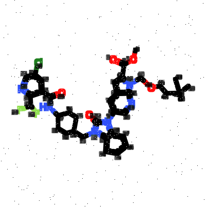 COC(=O)c1cc2cc(-n3c(=O)n(CC4CCC(NC(=O)c5cc(Cl)cnc5C(F)F)CC4)c4ccccc43)cnc2n1COCC[Si](C)(C)C